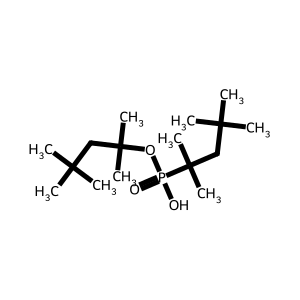 CC(C)(C)CC(C)(C)OP(=O)(O)C(C)(C)CC(C)(C)C